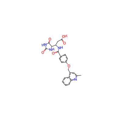 Cc1cc(COc2ccc(C(=O)NC(CC(=O)O)C3NC(=O)NC3=O)cc2)c2ccccc2n1